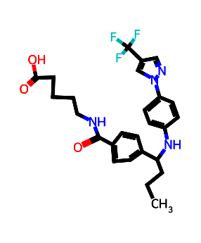 CCCC(Nc1ccc(-n2cc(C(F)(F)F)cn2)cc1)c1ccc(C(=O)NCCCCC(=O)O)cc1